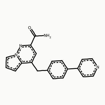 NC(=O)c1cc(Cc2ccc(-c3ccncc3)cc2)c2cccn2n1